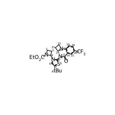 CCOC(=O)N1CCC1n1cc(C(C)(C)C)s/c1=N\C(=O)c1cc(C(F)(F)F)ccc1N1CCC1